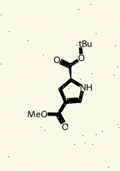 COC(=O)C1=CN[C@H](C(=O)OC(C)(C)C)C1